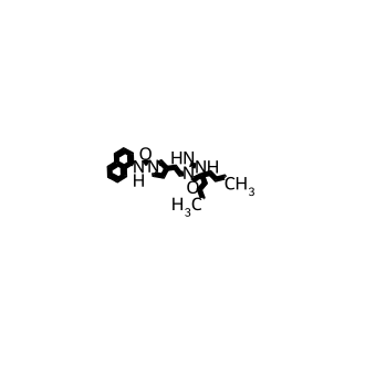 CCCCC1(CCCC)NC(=N)N(CCC2CCN(C(=O)Nc3cccc4ccccc34)C2)C1=O